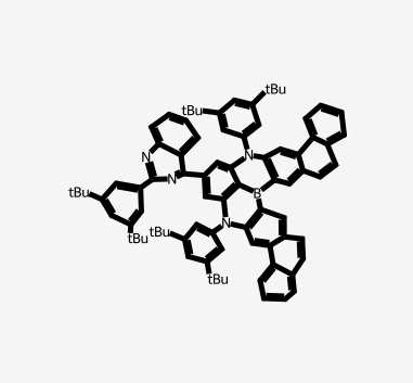 CC(C)(C)c1cc(-c2nc(-c3cc4c5c(c3)N(c3cc(C(C)(C)C)cc(C(C)(C)C)c3)c3cc6c(ccc7ccccc76)cc3B5c3cc5ccc6ccccc6c5cc3N4c3cc(C(C)(C)C)cc(C(C)(C)C)c3)c3ccccc3n2)cc(C(C)(C)C)c1